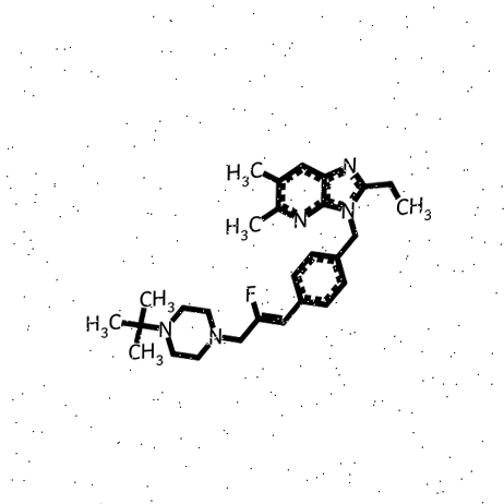 CCc1nc2cc(C)c(C)nc2n1Cc1ccc(C=C(F)CN2CCN(C(C)(C)C)CC2)cc1